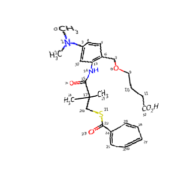 CN(C)c1ccc(COCCCC(=O)O)c(NC(=O)C(C)(C)CSC(=O)c2ccccc2)c1